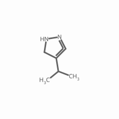 CC(C)C1=C=NNC1